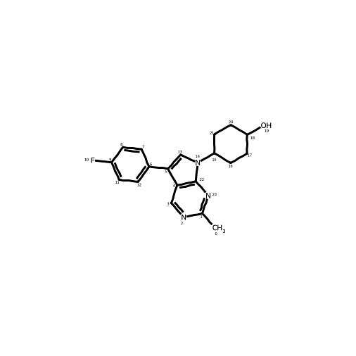 Cc1ncc2c(-c3ccc(F)cc3)cn(C3CCC(O)CC3)c2n1